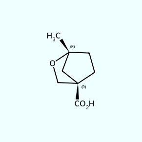 C[C@]12CC[C@](C(=O)O)(CO1)C2